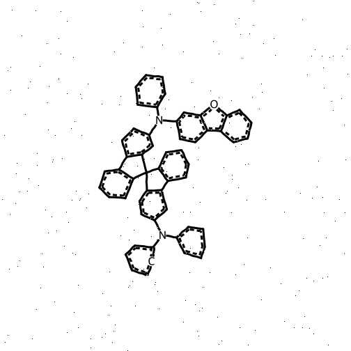 c1ccc(N(c2ccccc2)c2ccc3c(c2)-c2ccccc2C32c3ccccc3-c3ccc(N(c4ccccc4)c4ccc5c(c4)oc4ccccc45)cc32)cc1